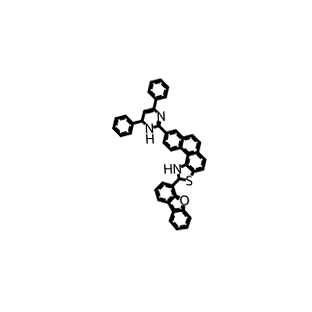 C1=C(c2ccccc2)N=C(c2ccc3c(ccc4ccc5c(c43)NC(c3cccc4c3oc3ccccc34)S5)c2)NC1c1ccccc1